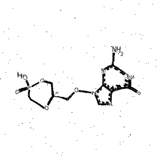 Nc1nc2c(ncn2OC[C@@H]2COP(=O)(O)CO2)c(=O)[nH]1